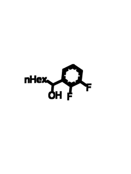 CCCCCCC(O)c1cccc(F)c1F